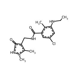 CCNc1cc(Cl)cc(C(=O)NCc2c(C)n(C)[nH]c2=O)c1C